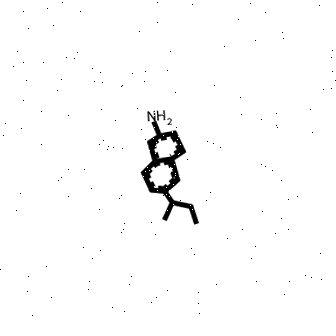 CCC(C)c1ccc2cc(N)ccc2c1